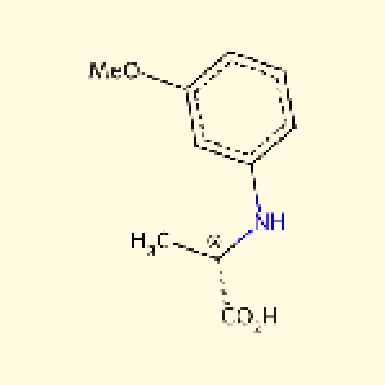 COc1cccc(N[C@@H](C)C(=O)O)c1